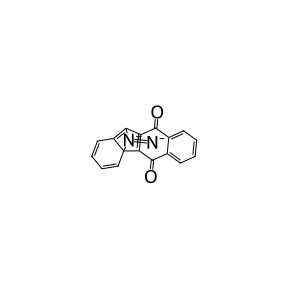 [N-]=[N+]1C2=C3C=CC=CC31C1=C2C(=O)c2ccccc2C1=O